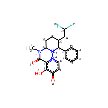 CN1C(=O)c2c(O)c(=O)ccn2N2C(c3ccccc3)C(CC(F)F)CCC12